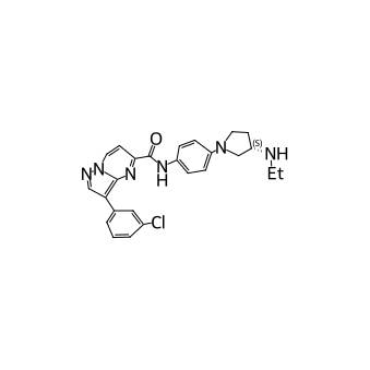 CCN[C@H]1CCN(c2ccc(NC(=O)c3ccn4ncc(-c5cccc(Cl)c5)c4n3)cc2)C1